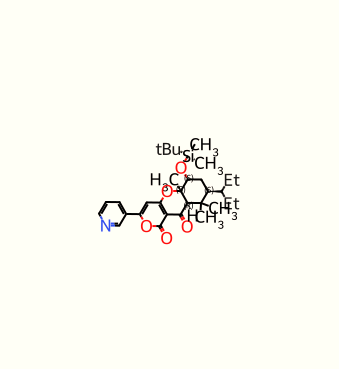 CCC(CC)[C@@H]1C[C@H](O[Si](C)(C)C(C)(C)C)[C@@]2(C)Oc3cc(-c4cccnc4)oc(=O)c3C(=O)[C@@H]2C1(C)C